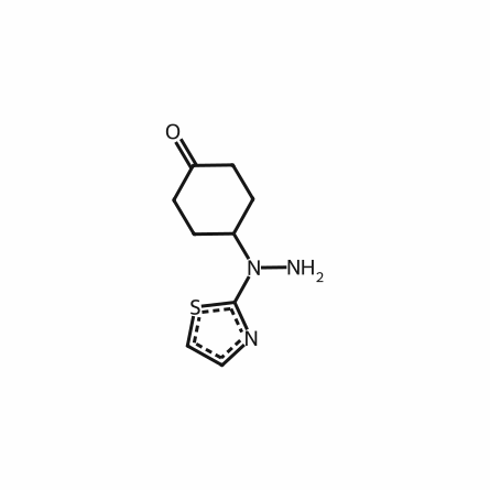 NN(c1nccs1)C1CCC(=O)CC1